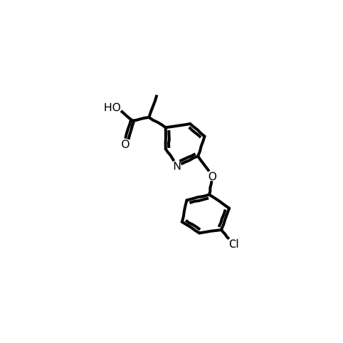 CC(C(=O)O)c1ccc(Oc2cccc(Cl)c2)nc1